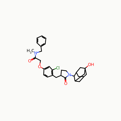 CN(Cc1ccccc1)C(=O)COc1ccc(CC2CCN(C3C4CC5CC3CC(O)(C5)C4)C2=O)c(Cl)c1